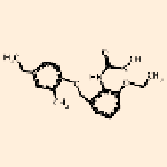 CCOc1cccc(COc2ccc(CC)cc2C)c1NC(=O)SC